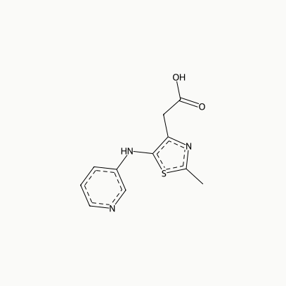 Cc1nc(CC(=O)O)c(Nc2cccnc2)s1